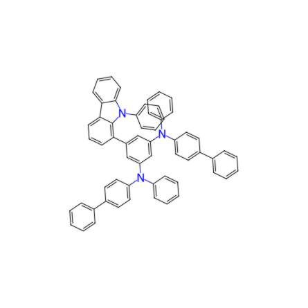 c1ccc(-c2ccc(N(c3ccccc3)c3cc(-c4cccc5c6ccccc6n(-c6ccccc6)c45)cc(N(c4ccccc4)c4ccc(-c5ccccc5)cc4)c3)cc2)cc1